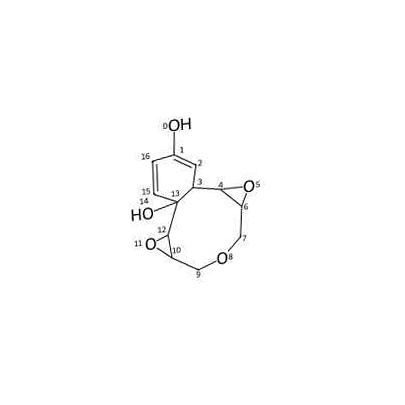 OC1=CC2C3OC3COCC3OC3C2(O)C=C1